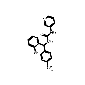 O=C(Nc1cccnc1)NC(c1ccc(C(F)(F)F)cc1)c1ccccc1Br